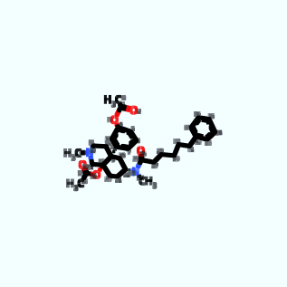 CC(=O)Oc1cccc([C@@]23CCN(C)C[C@@]2(OC(C)=O)CC[C@@H](N(C)C(=O)CCCCCc2ccccc2)C3)c1